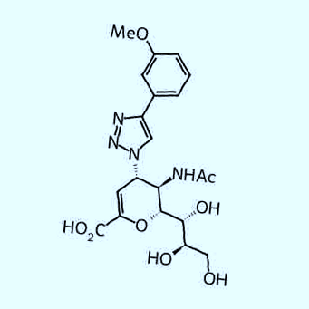 COc1cccc(-c2cn([C@H]3C=C(C(=O)O)O[C@@H]([C@H](O)[C@H](O)CO)[C@@H]3NC(C)=O)nn2)c1